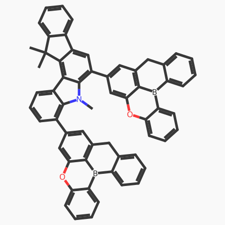 Cn1c2c(-c3cc4c5c(c3)Oc3ccccc3B5c3ccccc3C4)cccc2c2c3c(cc(-c4cc5c6c(c4)Oc4ccccc4B6c4ccccc4C5)c21)-c1ccccc1C3(C)C